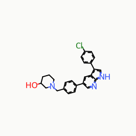 OC1CCCN(Cc2ccc(-c3cnc4[nH]cc(-c5ccc(Cl)cc5)c4c3)cc2)C1